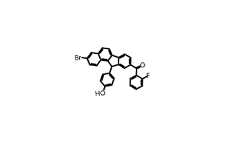 O=C(c1ccc2c(c1)C(c1ccc(O)cc1)c1c-2ccc2cc(Br)ccc12)c1ccccc1F